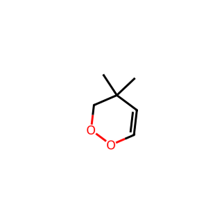 CC1(C)C=COOC1